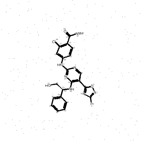 CCc1noc(-c2cnc(Nc3ccc(C(=O)NC)c(Cl)c3)nc2N[C@H](CO)c2ccccc2)n1